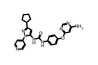 Nc1cc(Oc2ccc(NC(=O)Nc3cc(C4CCCC4)nn3-c3ccncc3)cc2)ncn1